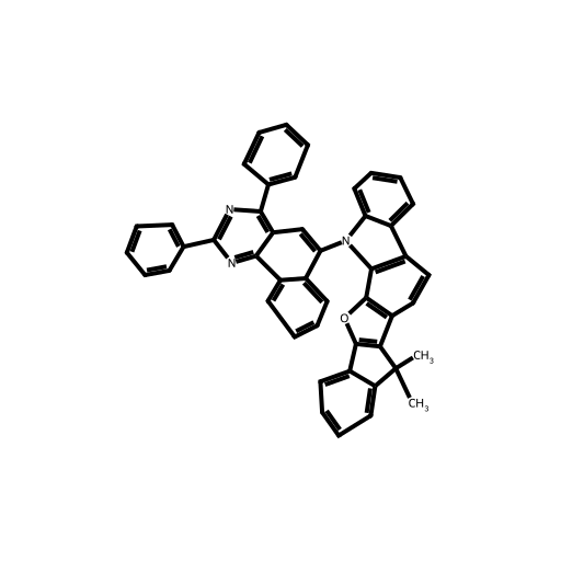 CC1(C)c2ccccc2-c2oc3c(ccc4c5ccccc5n(-c5cc6c(-c7ccccc7)nc(-c7ccccc7)nc6c6ccccc56)c43)c21